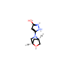 Oc1cc(N2C[C@H]3C[C@@H]2CO3)[nH]n1